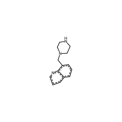 c1cnc2c(CN3CCNCC3)cccc2c1